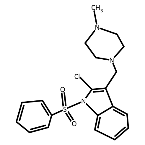 CN1CCN(Cc2c(Cl)n(S(=O)(=O)c3ccccc3)c3ccccc23)CC1